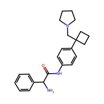 NC(C(=O)Nc1ccc(C2(CN3CCCC3)CCC2)cc1)c1ccccc1